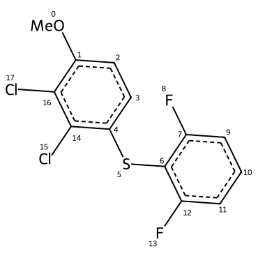 COc1ccc(Sc2c(F)cccc2F)c(Cl)c1Cl